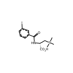 C[Si](C)(C)C[C@@H](NC(=O)c1cccc(I)c1)C(=O)O